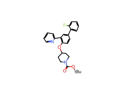 CC(C)(C)OC(=O)N1CCC(Oc2ccc(-c3ccccc3F)cc2-c2ccccn2)CC1